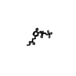 CCOC(=O)CCc1ccc(Cl)c(NC(=O)CCC(F)(F)F)c1